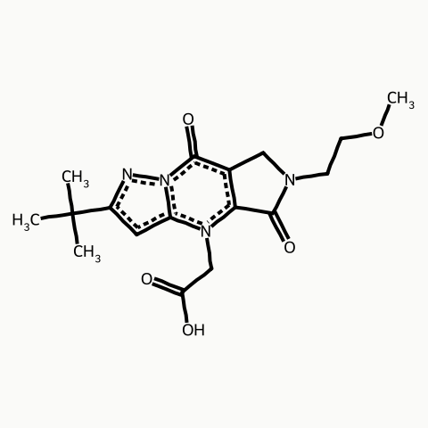 COCCN1Cc2c(n(CC(=O)O)c3cc(C(C)(C)C)nn3c2=O)C1=O